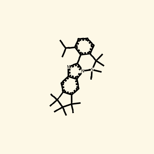 CC(C)c1cccc2c1-c1nc3cc4c(cc3n1S(C)(C)C2(C)C)C(C)(C)C(C)(C)C4(C)C